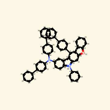 c1ccc(-c2ccc(-c3c4c(cc5c3c3cc(N(c6ccc(-c7ccccc7)cc6)c6ccc(-c7ccccc7)cc6)ccc3n5-c3ccccc3)oc3ccccc34)cc2)cc1